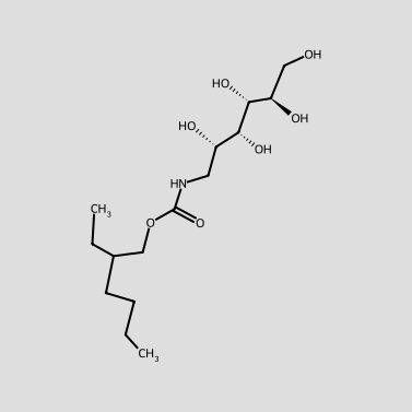 CCCCC(CC)COC(=O)NC[C@H](O)[C@@H](O)[C@H](O)[C@H](O)CO